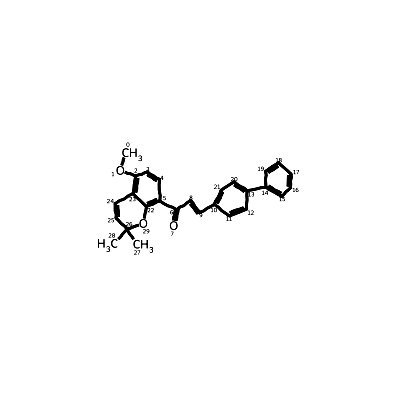 COc1ccc(C(=O)C=Cc2ccc(-c3ccccc3)cc2)c2c1C=CC(C)(C)O2